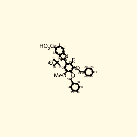 COc1cc(-c2nc3ccc(C(=O)O)cc3n2C2(C)COC2)c(F)c(OCc2ccccc2)c1OCc1ccccc1